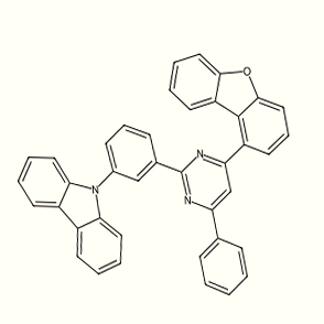 c1ccc(-c2cc(-c3cccc4oc5ccccc5c34)nc(-c3cccc(-n4c5ccccc5c5ccccc54)c3)n2)cc1